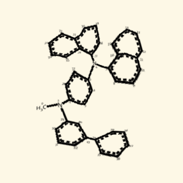 CN(c1ccc(N(c2cccc3ccccc23)c2cccc3ccccc23)cc1)c1cccc(-c2ccccc2)c1